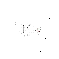 Cc1nc2nc(NC(C)c3cccnc3)nc(C(=O)N3CC(NC(=O)[C@@H]4CC5CC4C5)C3)c2s1